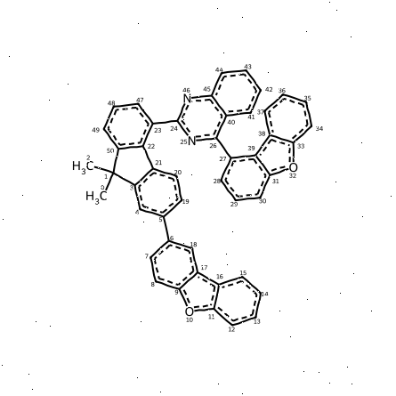 CC1(C)c2cc(-c3ccc4oc5ccccc5c4c3)ccc2-c2c(-c3nc(-c4cccc5oc6ccccc6c45)c4ccccc4n3)cccc21